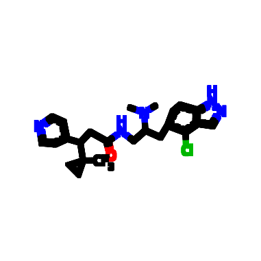 CN(C)C(CNC(=O)CC(c1ccncc1)C1(C(F)(F)F)CC1)Cc1ccc2[nH]ncc2c1Cl